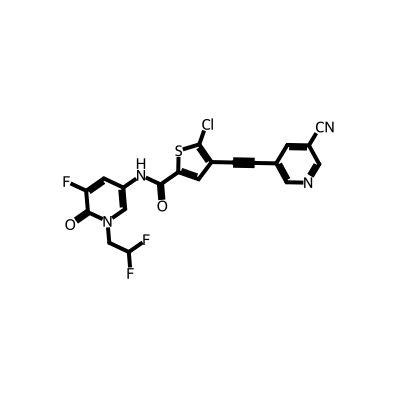 N#Cc1cncc(C#Cc2cc(C(=O)Nc3cc(F)c(=O)n(CC(F)F)c3)sc2Cl)c1